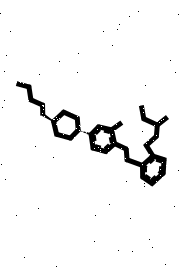 CCCCC[C@H]1CC[C@H](c2ccc(CCc3ccccc3CCC(C)CC)c(C)c2)CC1